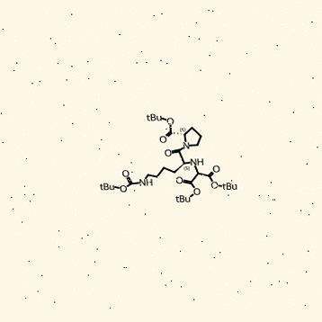 CC(C)(C)OC(=O)NCCCC[C@H](NC(C(=O)OC(C)(C)C)C(=O)OC(C)(C)C)C(=O)N1CCC[C@H]1C(=O)OC(C)(C)C